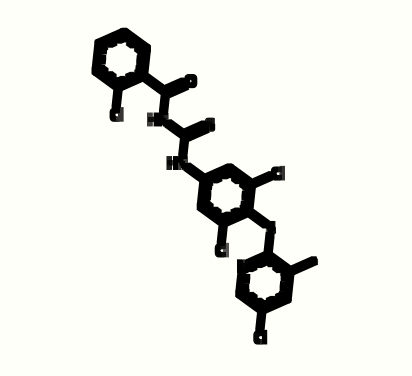 Cc1cc(Cl)cnc1Sc1c(Cl)cc(NC(=S)NC(=O)c2ccccc2Cl)cc1Cl